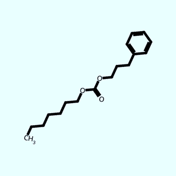 CCCCCCCOC(=O)OCCCc1ccccc1